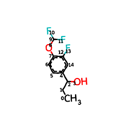 CCC(O)c1ccc(OC(F)F)c(F)c1